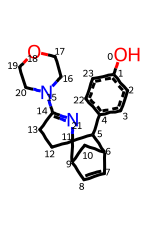 Oc1ccc(C2C3C=CC(C3)C23CCC(N2CCOCC2)=N3)cc1